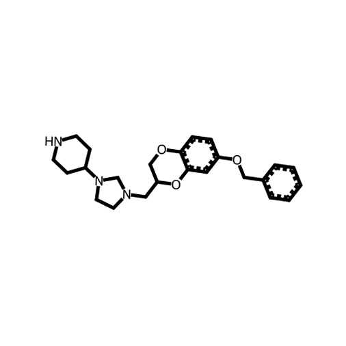 c1ccc(COc2ccc3c(c2)OC(CN2CCN(C4CCNCC4)C2)CO3)cc1